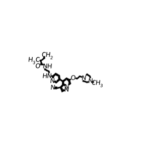 C=CC(C)C(=O)NCCNc1ccc(-c2cc(OCCN3CCN(C)CC3)cn3ncc(C#N)c23)cn1